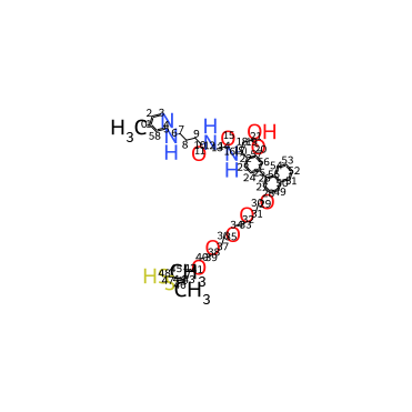 Cc1ccnc(NCCCC(=O)NCC(=O)N[C@@H](CC(=O)O)c2ccc(-c3cc(OCCOCCOCCOCCOCCC(C)(C)SS)cc4ccccc34)cc2)c1